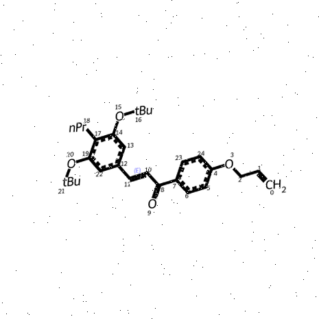 C=CCOc1ccc(C(=O)/C=C/c2cc(OC(C)(C)C)c(CCC)c(OC(C)(C)C)c2)cc1